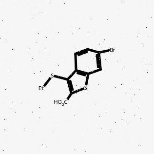 CCSc1c(C(=O)O)sc2cc(Br)ccc12